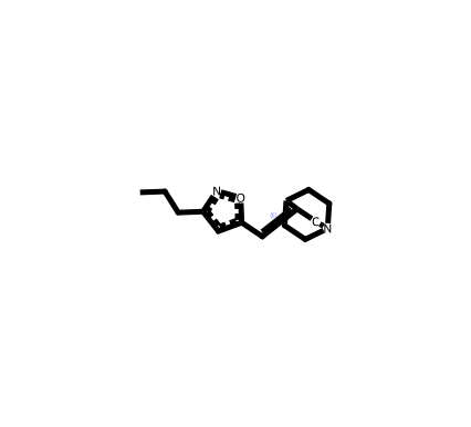 CCCc1cc(/C=C2/CN3CCC2CC3)on1